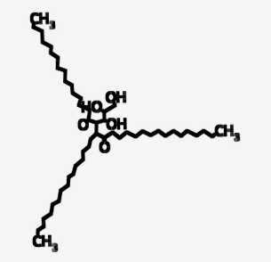 CCCCCCCCCCCCCCCCC(C(=O)CCCCCCCCCCCCCCC)C(C(=O)CCCCCCCCCCCCCCC)C(O)[C@@H](O)CO